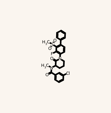 CN(C(=O)c1cccc(Cl)c1)C1CCCN(c2ccc(-c3ccccc3)c(S(C)(=O)=O)c2F)C1=O